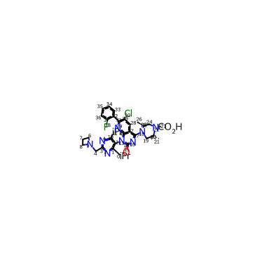 CC(C)c1nc(CN2CCC2)nc(C(C)C)c1-n1c(=O)nc(N2C[C@@H](C)N(C(=O)O)C[C@@H]2C)c2cc(Cl)c(-c3ccccc3F)nc21